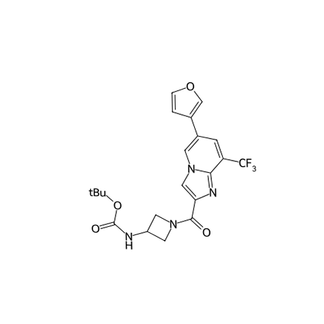 CC(C)(C)OC(=O)NC1CN(C(=O)c2cn3cc(-c4ccoc4)cc(C(F)(F)F)c3n2)C1